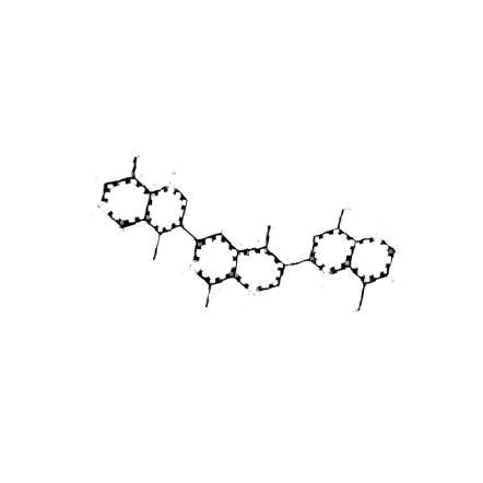 Cc1c(-c2cc3c(C)c(-c4cc(C)c5nccc(C)c5n4)cnc3c(C)n2)cnc2c(C)cncc12